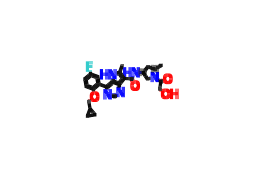 Cc1[nH]c2c(-c3cc(F)ccc3OCC3CC3)ncnc2c1C(=O)N[C@H]1C[C@@H](C)N(C(=O)CO)C1